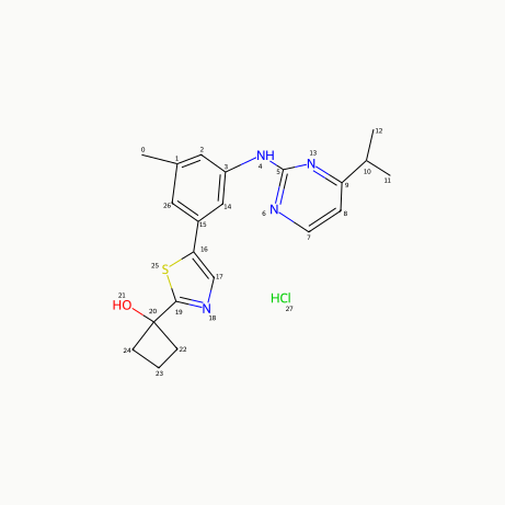 Cc1cc(Nc2nccc(C(C)C)n2)cc(-c2cnc(C3(O)CCC3)s2)c1.Cl